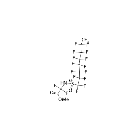 COC(=O)C(F)(F)NS(=O)(=O)C(F)(F)C(F)(F)C(F)(F)C(F)(F)C(F)(F)C(F)(F)C(F)(F)C(F)(F)F